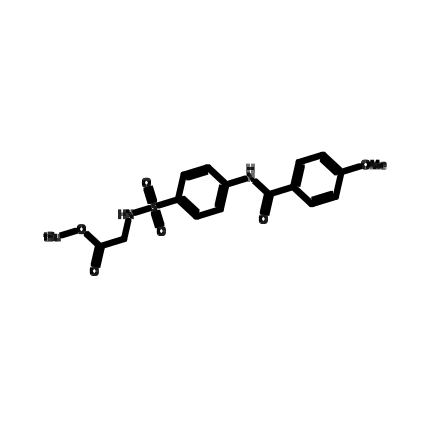 COc1ccc(C(=O)Nc2ccc(S(=O)(=O)NCC(=O)OC(C)(C)C)cc2)cc1